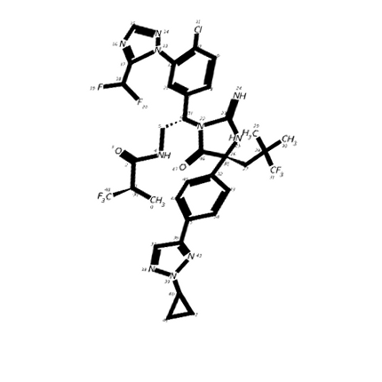 C[C@H](C(=O)NC[C@H](c1ccc(Cl)c(-n2ncnc2C(F)F)c1)N1C(=N)N[C@](CC(C)(C)C(F)(F)F)(c2ccc(-c3cnn(C4CC4)n3)cc2)C1=O)C(F)(F)F